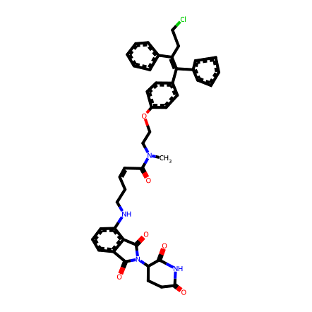 CN(CCOc1ccc(C(=C(CCCl)c2ccccc2)c2ccccc2)cc1)C(=O)/C=C\CCNc1cccc2c1C(=O)N(C1CCC(=O)NC1=O)C2=O